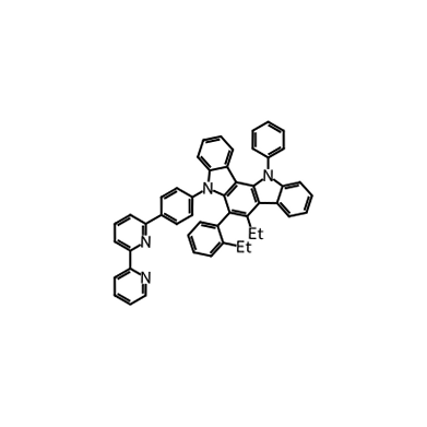 CCc1ccccc1-c1c(CC)c2c3ccccc3n(-c3ccccc3)c2c2c3ccccc3n(-c3ccc(-c4cccc(-c5ccccn5)n4)cc3)c12